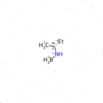 BN[C@H](C)CC